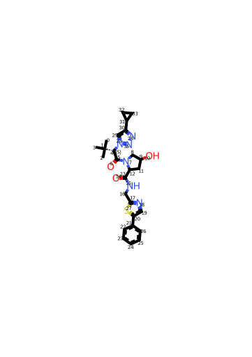 CC(C)(C)[C@@H](C(=O)N1CC(O)CC1C(=O)NCc1ncc(-c2ccccc2)s1)n1cc(C2CC2)nn1